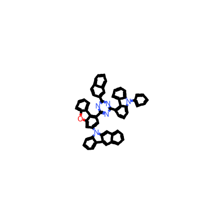 c1ccc(-n2c3ccccc3c3c(-c4nc(-c5ccc6ccccc6c5)nc(-c5cc(-n6c7ccccc7c7cc8ccccc8cc76)cc6oc7ccccc7c56)n4)cccc32)cc1